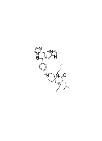 CCCCN1C(=O)[C@H](CC(C)C)N(CCC)CC12CCN(Cc1ccc(C(=O)N(Cc3ncc[nH]3)Cc3ncc[nH]3)cc1)CC2